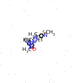 CC[C@@H]1CN(c2cc(=O)n(C)c3cc(CC#N)nn23)[C@@H](C)CN1C(C)c1ccc2nc(C)sc2c1